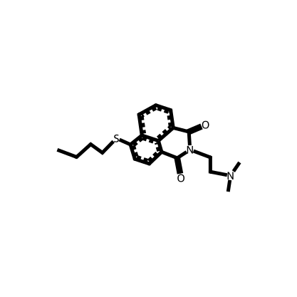 CCCCSc1ccc2c3c(cccc13)C(=O)N(CCN(C)C)C2=O